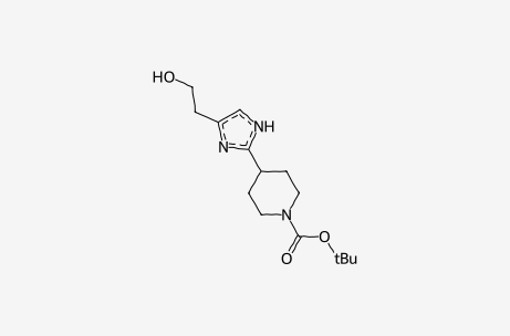 CC(C)(C)OC(=O)N1CCC(c2nc(CCO)c[nH]2)CC1